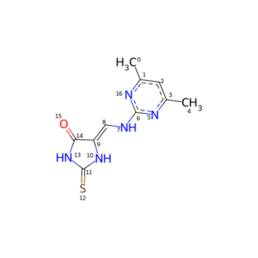 Cc1cc(C)nc(N/C=C2\NC(=S)NC2=O)n1